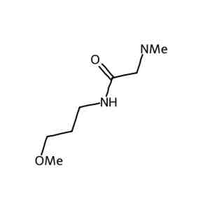 CNCC(=O)NCCCOC